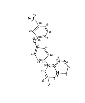 CC1(C)CN2CCSN=C2N(c2ccc(Oc3cccc(C(F)(F)F)c3)cc2)C1